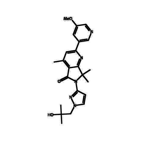 COc1cncc(-c2cc(C)c3c(n2)C(C)(C)N(c2ccn(CC(C)(C)O)n2)C3=O)c1